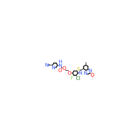 COc1cnc2c(-c3nc4c(Cl)c(F)c(OCCOC(=O)Nc5ccc(C#N)nc5)cc4s3)cc(C)cc2n1